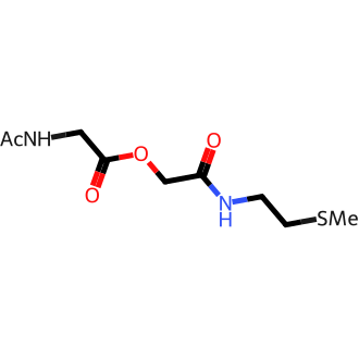 CSCCNC(=O)COC(=O)CNC(C)=O